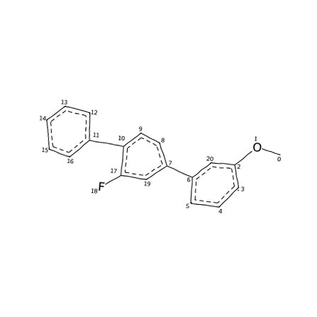 COc1[c]ccc(-c2ccc(-c3ccccc3)c(F)c2)c1